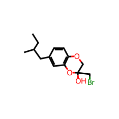 CCC(C)Cc1ccc2c(c1)OC(O)(CBr)CO2